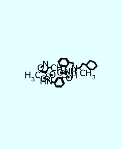 Cc1noc(C)c1S(=O)(=O)Nc1cccc(S(=O)(=O)Nc2ccccc2CN[C@@H](C)CC2CCCCC2)c1